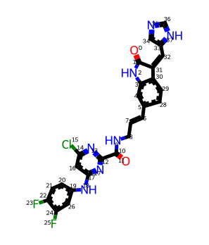 O=C1Nc2cc(C=CCNC(=O)c3nc(Cl)cc(Nc4ccc(F)c(F)c4)n3)ccc2C1=Cc1cnc[nH]1